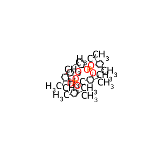 Cc1ccc(C(C)C)c(OP(Oc2cc(C)ccc2C(C)C)Oc2cccc3c2Oc2c(cccc2OP(Oc2cc(C)ccc2C(C)C)Oc2cc(C)ccc2C(C)C)C3)c1